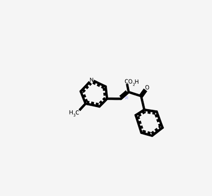 Cc1cncc(/C=C(\C(=O)O)C(=O)c2ccccc2)c1